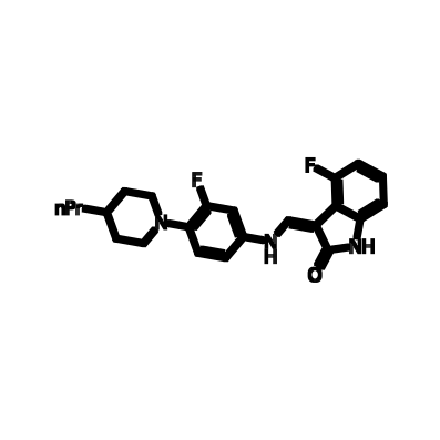 CCCC1CCN(c2ccc(NC=C3C(=O)Nc4cccc(F)c43)cc2F)CC1